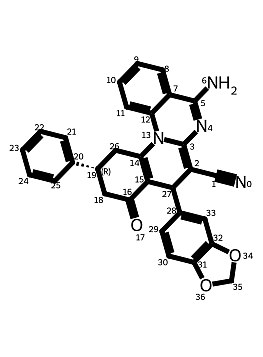 N#CC1=C2N=C(N)c3ccccc3N2C2=C(C(=O)C[C@H](c3ccccc3)C2)C1c1ccc2c(c1)OCO2